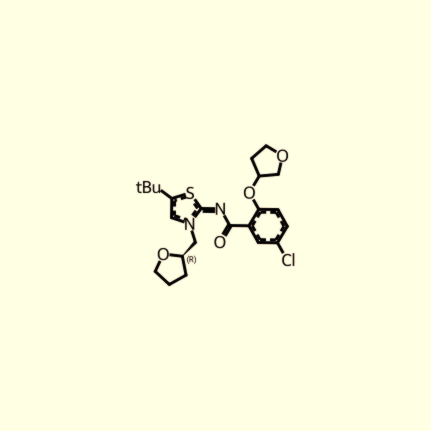 CC(C)(C)c1cn(C[C@H]2CCCO2)c(=NC(=O)c2cc(Cl)ccc2OC2CCOC2)s1